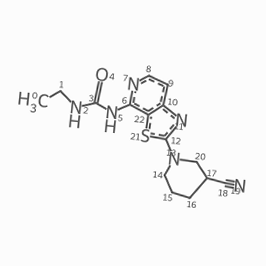 CCNC(=O)Nc1nccc2nc(N3CCCC(C#N)C3)sc12